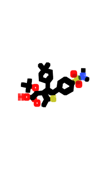 Cc1sc(-c2ccc(S(=O)(=O)N(C)C)cc2)c(C2=CCC(C)(C)CC2)c1C(OC(C)(C)C)C(=O)O